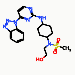 CS(=O)(=O)N(CCO)C1CCC(Nc2nccc(-n3nnc4ccccc43)n2)CC1